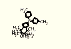 Cc1ccc(N(c2ccc(C)cc2)c2ccc3c(c2)C(C)(C)C(C)(C)C(C)(C)C3(C)C)cc1